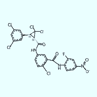 O=C(Nc1ccc([N+](=O)[O-])cc1F)c1cc(NC(=O)[C@@H]2[C@@H](c3cc(Cl)cc(Cl)c3)C2(Cl)Cl)ccc1Cl